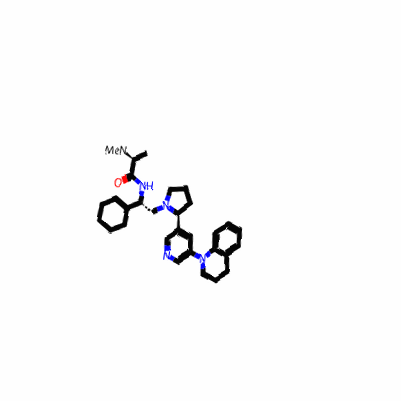 CN[C@@H](C)C(=O)N[C@H](CN1CCC[C@H]1c1cncc(N2CCCc3ccccc32)c1)C1CCCCC1